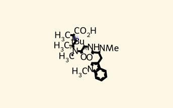 CNC(Cc1cn(C)c2ccccc12)C(=O)N[C@H](C(=O)N(C)[C@H](C)/C=C(\C)C(=O)O)C(C)(C)C